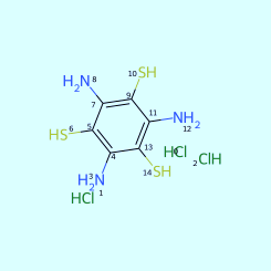 Cl.Cl.Cl.Nc1c(S)c(N)c(S)c(N)c1S